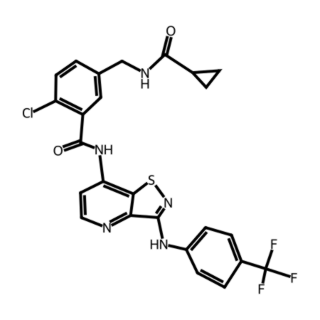 O=C(Nc1ccnc2c(Nc3ccc(C(F)(F)F)cc3)nsc12)c1cc(CNC(=O)C2CC2)ccc1Cl